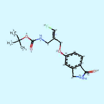 CC(C)(C)OC(=O)NC/C(=C\F)COc1ccc2c(c1)CNC2=O